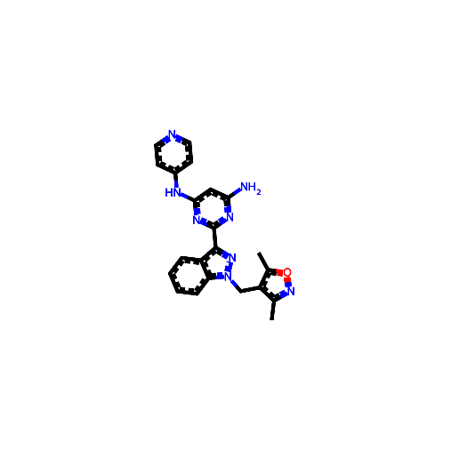 Cc1noc(C)c1Cn1nc(-c2nc(N)cc(Nc3ccncc3)n2)c2ccccc21